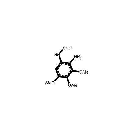 COc1cc(NC=O)c(N)c(OC)c1OC